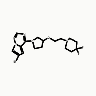 FC1(F)CCN(CCOC2CCN(c3ncnn4cc(Br)cc34)C2)CC1